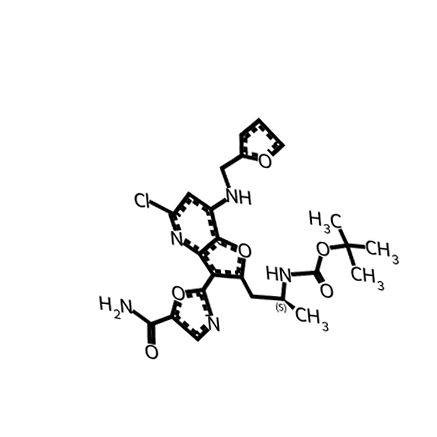 C[C@@H](Cc1oc2c(NCc3ccco3)cc(Cl)nc2c1-c1ncc(C(N)=O)o1)NC(=O)OC(C)(C)C